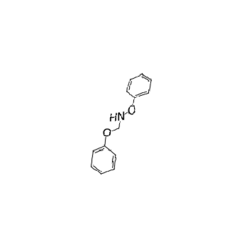 c1ccc(OCNOc2ccccc2)cc1